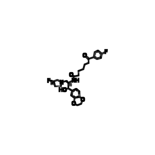 O=C(CCCCCC(=O)c1ccc(F)cc1)N[C@H](CN1CC[C@@H](F)C1)C(O)c1ccc2c(c1)OCCO2